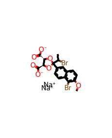 COc1ccc2cc(C3(C(C)Br)O[C@@H](C(=O)[O-])[C@H](C(=O)[O-])O3)ccc2c1Br.[Na+].[Na+]